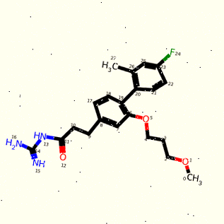 COCCCOc1cc(CCC(=O)NC(=N)N)ccc1-c1ccc(F)cc1C